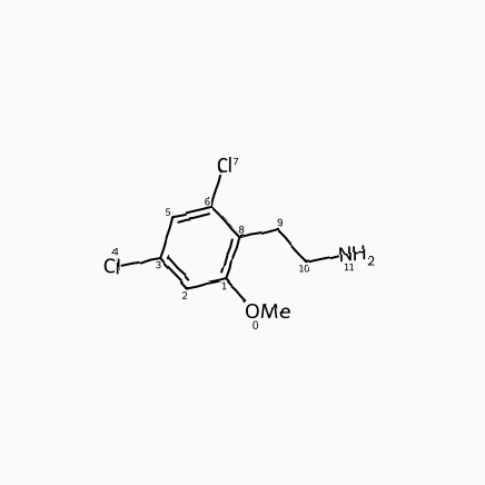 COc1cc(Cl)cc(Cl)c1CCN